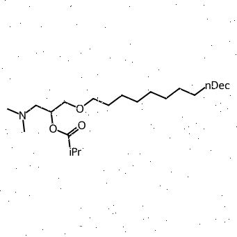 CCCCCCCCCCCCCCCCCCOCC(CN(C)C)OC(=O)C(C)C